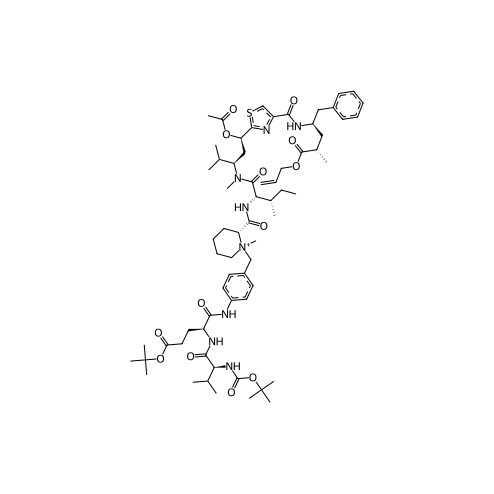 C=CCOC(=O)[C@@H](C)C[C@H](Cc1ccccc1)NC(=O)c1csc([C@@H](C[C@H](C(C)C)N(C)C(=O)[C@@H](NC(=O)[C@H]2CCCC[N+]2(C)Cc2ccc(NC(=O)[C@H](CCC(=O)OC(C)(C)C)NC(=O)[C@@H](NC(=O)OC(C)(C)C)C(C)C)cc2)[C@@H](C)CC)OC(C)=O)n1